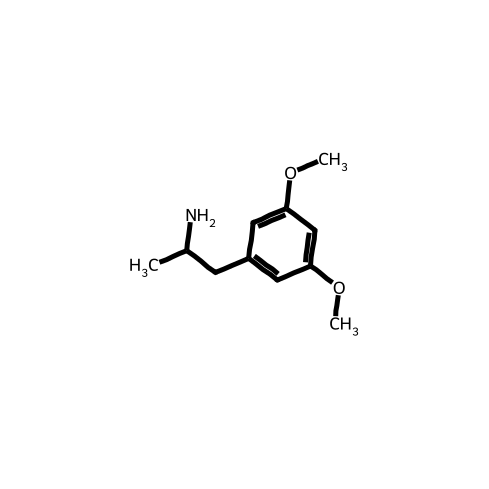 COc1cc(CC(C)N)cc(OC)c1